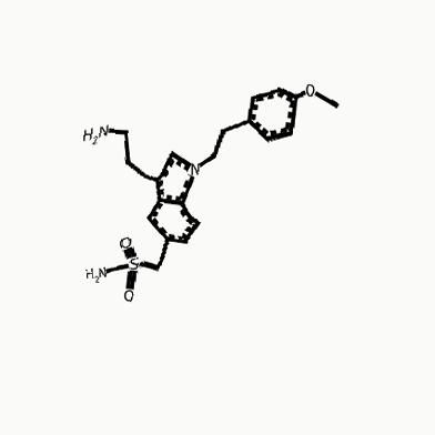 COc1ccc(CCn2cc(CCN)c3cc(CS(N)(=O)=O)ccc32)cc1